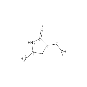 CN1CC(CO)C(=O)N1